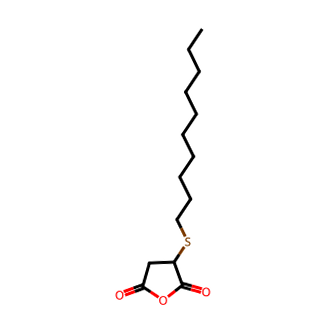 CCCCCCCCCCSC1CC(=O)OC1=O